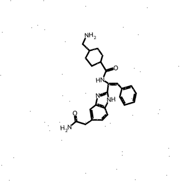 NCC1CCC(C(=O)NC(=Cc2ccccc2)c2nc3cc(CC(N)=O)ccc3[nH]2)CC1